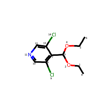 CCOC(OCC)c1c(Cl)cncc1Cl